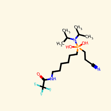 CC(C)N(C(C)C)P(O)(O)(CCC#N)CCCCCCNC(=O)C(F)(F)F